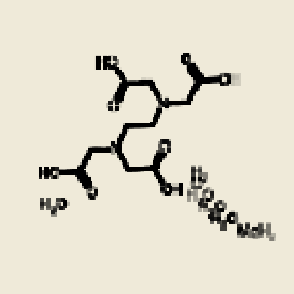 O.O.O.O.O.O=C(O)CN(CCN(CC(=O)O)CC(=O)O)CC(=O)O.[MgH2]